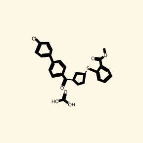 COC(=O)c1ccccc1S[C@@H]1CC[C@@H](C(=O)c2ccc(-c3ccc(Cl)cc3)cc2)C1.O=C(O)O